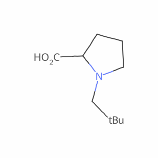 CC(C)(C)CN1CCCC1C(=O)O